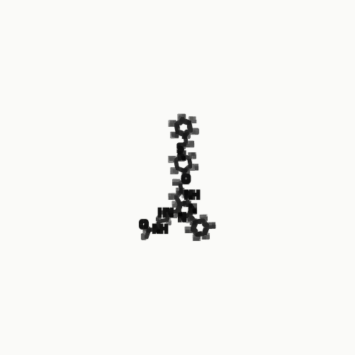 CC(=O)NCCNc1nc(-c2ccccc2)nc2c1CC(COC1CCN(SCc3ccccc3)CC1)N2